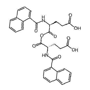 O=C(O)CC[C@H](NC(=O)c1cccc2ccccc12)C(=O)OC(=O)[C@H](CCC(=O)O)NC(=O)c1cccc2ccccc12